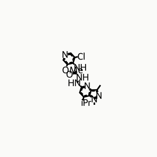 COc1cncc(Cl)c1NC(=O)NNc1cc(C(C)C)c2c(n1)c(C)nn2C